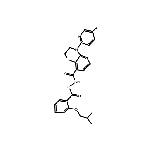 Cc1ccc(N2CCOc3c(C(=O)NOC(=O)c4ccccc4OCC(C)C)cccc32)nc1